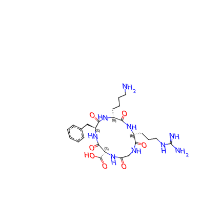 N=C(N)NCCC[C@H]1NC(=O)[C@@H](CCCCN)NC(=O)[C@H](Cc2ccccc2)NC(=O)[C@@H](C(=O)O)NC(=O)CNC1=O